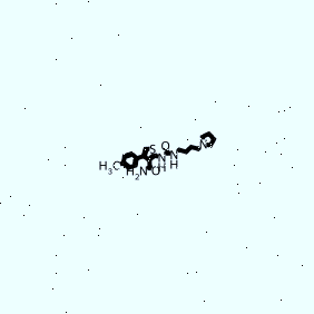 Cc1ccc(-c2csc(NC(=O)NCCCCN3CCCC3)c2C(N)=O)cc1